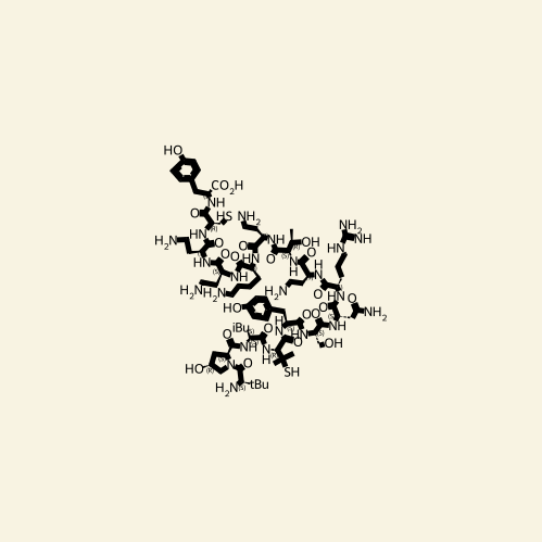 CC[C@H](C)[C@H](NC(=O)[C@@H]1C[C@@H](O)CN1C(=O)[C@@H](N)C(C)(C)C)C(=O)N[C@H](C(=O)N[C@@H](Cc1ccc(O)cc1)C(=O)N[C@@H](CO)C(=O)N[C@@H](CC(N)=O)C(=O)N[C@@H](CCCNC(=N)N)C(=O)N[C@@H](CCN)C(=O)N[C@H](C(=O)N[C@H](CCN)C(=O)N[C@@H](CCCCN)C(=O)N[C@@H](CCN)C(=O)N[C@@H](CCN)C(=O)N[C@@H](CS)C(=O)N[C@@H](Cc1ccc(O)cc1)C(=O)O)[C@@H](C)O)C(C)(C)S